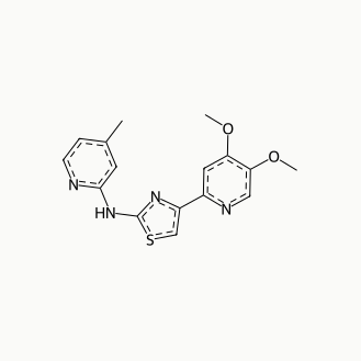 COc1cnc(-c2csc(Nc3cc(C)ccn3)n2)cc1OC